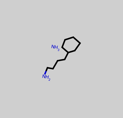 N.NCCCCC1CCCCC1